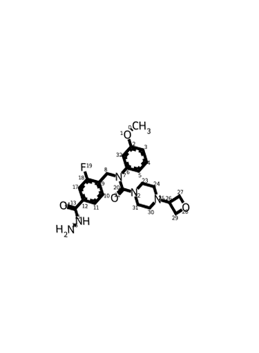 COc1cccc(N(Cc2ccc(C(=O)NN)cc2F)C(=O)N2CCN(C3COC3)CC2)c1